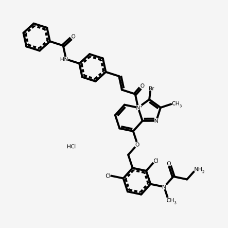 CC1=C(Br)[N+]2(C(=O)C=Cc3ccc(NC(=O)c4ccccc4)cc3)C=CC=C(OCc3c(Cl)ccc(N(C)C(=O)CN)c3Cl)C2=N1.Cl